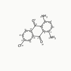 Nc1ccc(N)c2c1C(=O)c1ccc(Cl)cc1C2=O